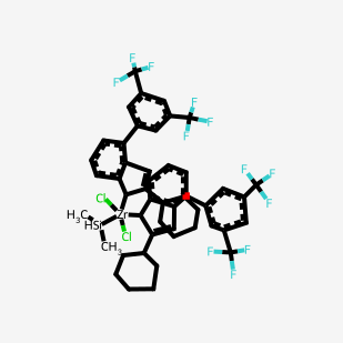 C[SiH](C)[Zr]([Cl])([Cl])([CH]1C(C2CCCCC2)=Cc2c(-c3cc(C(F)(F)F)cc(C(F)(F)F)c3)cccc21)[CH]1C(C2CCCCC2)=Cc2c(-c3cc(C(F)(F)F)cc(C(F)(F)F)c3)cccc21